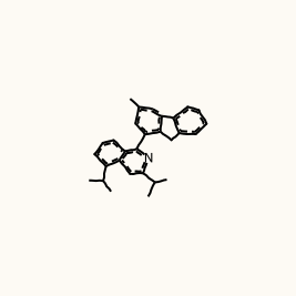 Cc1cc2c(c(-c3nc(C(C)C)cc4c(C(C)C)cccc34)c1)Cc1ccccc1-2